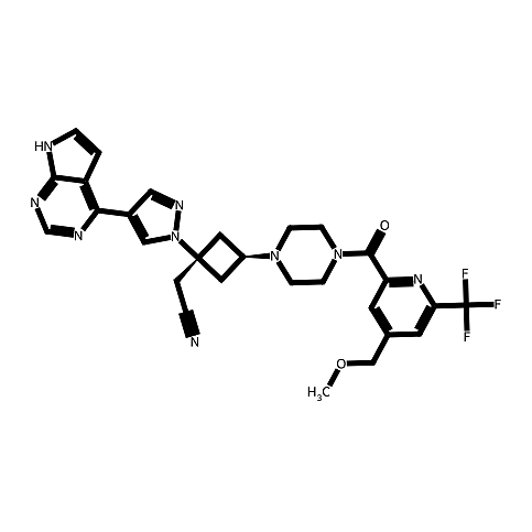 COCc1cc(C(=O)N2CCN([C@H]3C[C@](CC#N)(n4cc(-c5ncnc6[nH]ccc56)cn4)C3)CC2)nc(C(F)(F)F)c1